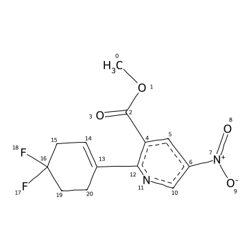 COC(=O)c1cc([N+](=O)[O-])cnc1C1=CCC(F)(F)CC1